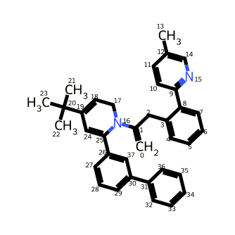 C=C(Cc1ccccc1-c1ccc(C)cn1)N1CC=C(C(C)(C)C)C=C1c1cccc(-c2ccccc2)c1